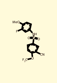 COc1ccc(NS(=O)(=O)c2ccc(OC(F)(F)F)c(C#N)c2)cc1F